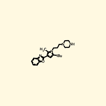 Cc1c(-c2nc3ccccc3o2)cc(C(C)(C)C)n1CCCN1CCNCC1